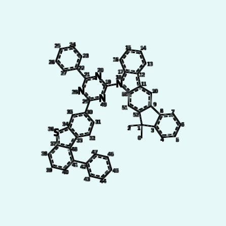 CC1(C)c2ccccc2-c2cc3c4ccccc4n(-c4nc(-c5ccccc5)nc(-c5ccc6c(c5)sc5cccc(-c7ccccc7)c56)n4)c3cc21